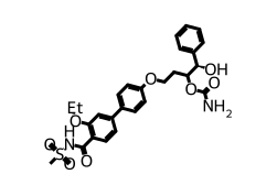 CCOc1cc(-c2ccc(OCCC(OC(N)=O)[C@H](O)c3ccccc3)cc2)ccc1C(=O)NS(C)(=O)=O